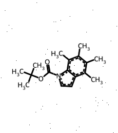 Cc1c(C)c(C)c2c(ccn2C(=O)OC(C)(C)C)c1C